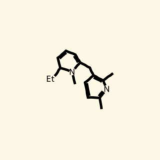 CCC1C=CC=C(Cc2ccc(C)nc2C)N1C